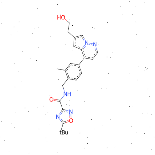 Cc1cc(-c2ccnn3cc(CCO)cc23)ccc1CNC(=O)c1noc(C(C)(C)C)n1